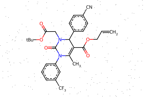 C=CCOC(=O)C1=C(C)N(c2cccc(C(F)(F)F)c2)C(=O)N(CC(=O)OC(C)(C)C)C1c1ccc(C#N)cc1